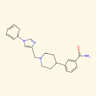 NC(=O)c1cccc(C2CCN(Cc3cn(-c4ccccc4)cn3)CC2)c1